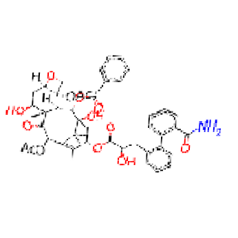 CC(=O)O[C@H]1C(=O)[C@@]2(C)[C@H]([C@H](OC(=O)c3ccccc3)[C@]3(O)C[C@H](OC(=O)[C@H](O)Cc4ccccc4-c4ccccc4C(N)=O)C(C)=C1C3(C)C)[C@]1(OC(C)=O)CO[C@@H]1C[C@@H]2O